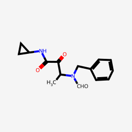 CC(C(=O)C(=O)NC1CC1)N(C=O)Cc1ccccc1